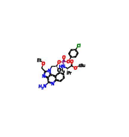 CCOCc1nc2c(N)nc3ccccc3c2n1C[C@@H](C)OP(=O)(N[C@H](C(=O)OC(C)(C)C)C(C)C)Oc1ccc(Cl)cc1